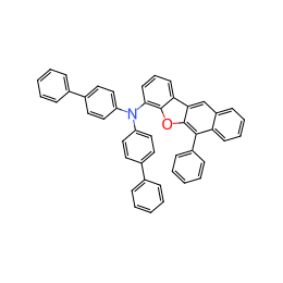 c1ccc(-c2ccc(N(c3ccc(-c4ccccc4)cc3)c3cccc4c3oc3c(-c5ccccc5)c5ccccc5cc34)cc2)cc1